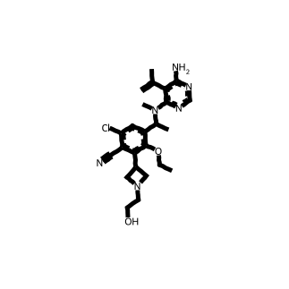 C=C(C)c1c(N)ncnc1N(C)C(C)c1cc(Cl)c(C#N)c(C2CN(CCO)C2)c1OCC